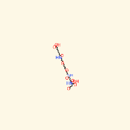 O=[C]CCC(NC(=O)CCC(=O)NCCCOCCCCOCCCNC(=O)CCCCCCC(=O)O)C(=O)O